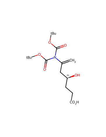 C=C(C[C@@H](O)CCC(=O)O)N(C(=O)OC(C)(C)C)C(=O)OC(C)(C)C